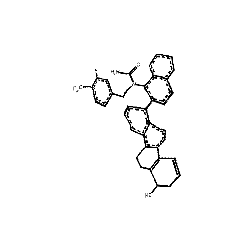 NC(=O)N(Cc1ccc(C(F)(F)F)c(F)c1)c1c(-c2cccc3c4c(ccc23)C2=C(CC4)C(O)CC=C2)ccc2ccccc12